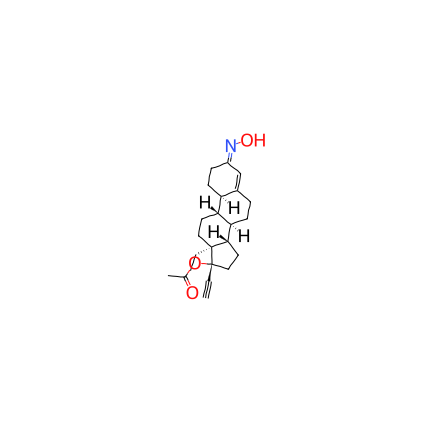 C#C[C@]1(OC(C)=O)CC[C@H]2[C@@H]3CCC4=CC(=NO)CC[C@@H]4[C@H]3CC[C@@]21CC